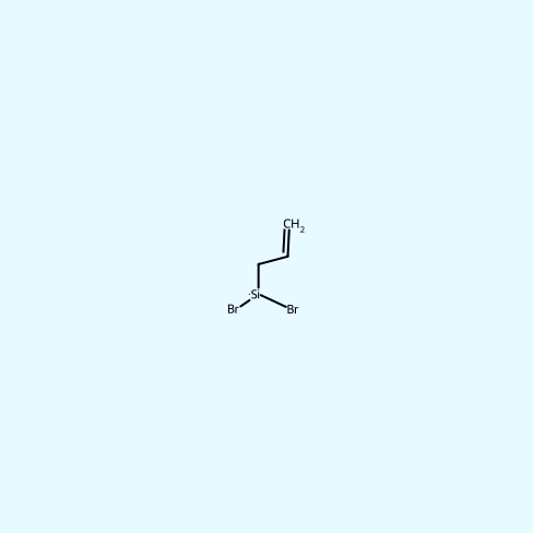 C=CC[Si](Br)Br